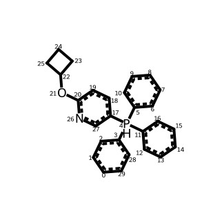 c1ccc([PH](c2ccccc2)(c2ccccc2)c2ccc(OC3CCC3)nc2)cc1